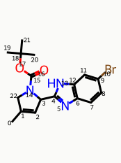 CC1=CC(c2nc3ccc(Br)cc3[nH]2)N(C(=O)OC(C)(C)C)C1